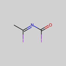 C/C(I)=N/C(=O)I